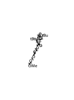 COCCOCCOCCOCCOCC(=O)OC[C@H](CN(C(C)(C)C)S(C)(=O)=O)O[C@@H](C)C(C)(C)C